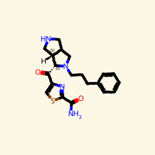 NC(=O)c1nc(C(=O)[C@@H]2[C@@H]3CNCC3CN2CC[CH]c2ccccc2)cs1